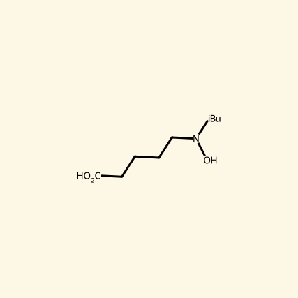 CCC(C)N(O)CCCCC(=O)O